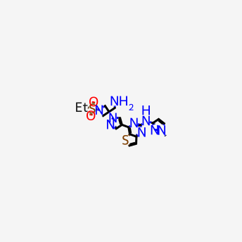 CCS(=O)(=O)N1CC(CN)(n2cc(-c3nc(Nc4ccn(C)n4)nc4ccsc34)cn2)C1